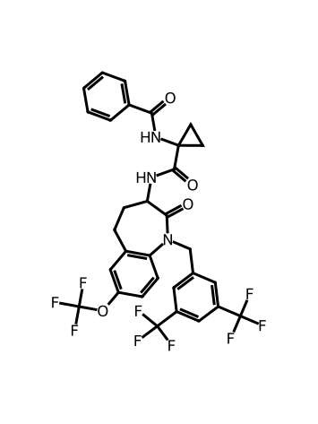 O=C(NC1(C(=O)NC2CCc3cc(OC(F)(F)F)ccc3N(Cc3cc(C(F)(F)F)cc(C(F)(F)F)c3)C2=O)CC1)c1ccccc1